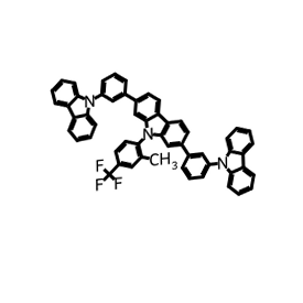 Cc1cc(C(F)(F)F)ccc1-n1c2cc(-c3cccc(-n4c5ccccc5c5ccccc54)c3)ccc2c2ccc(-c3cccc(-n4c5ccccc5c5ccccc54)c3)cc21